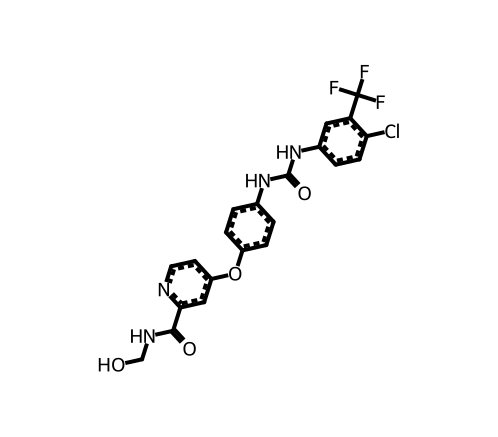 O=C(Nc1ccc(Oc2ccnc(C(=O)NCO)c2)cc1)Nc1ccc(Cl)c(C(F)(F)F)c1